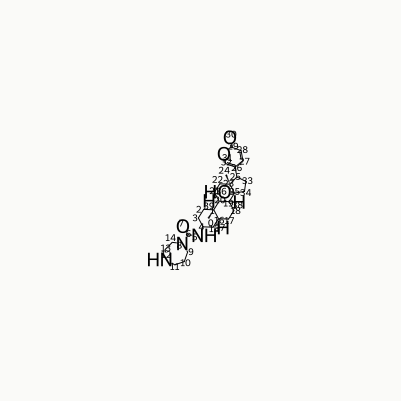 C[C@]12CC[C@H](NC(=O)N3CCCNCC3)C[C@H]1CC[C@@H]1[C@@H]2CC[C@]2(C)[C@@H](c3ccc(=O)oc3)CC[C@]12O